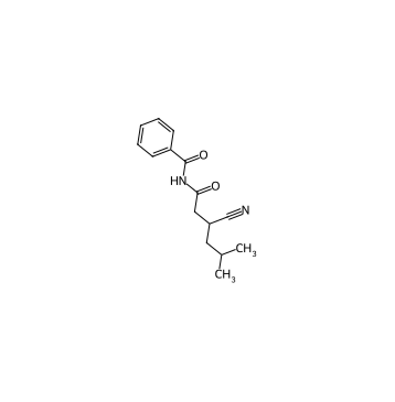 CC(C)CC(C#N)CC(=O)NC(=O)c1ccccc1